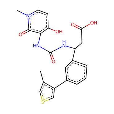 Cc1cscc1-c1cccc(C(CC(=O)O)NC(=O)Nc2c(O)ccn(C)c2=O)c1